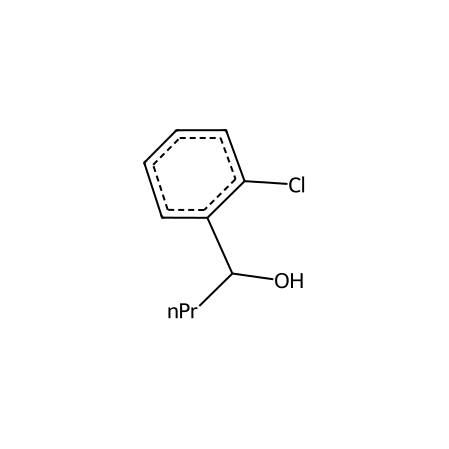 [CH2]CCC(O)c1ccccc1Cl